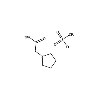 CC(C)(C)C(=O)C[S+]1CCCC1.O=S(=O)([O-])C(F)(F)F